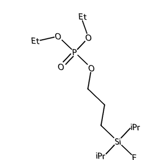 CCOP(=O)(OCC)OCCC[Si](F)(C(C)C)C(C)C